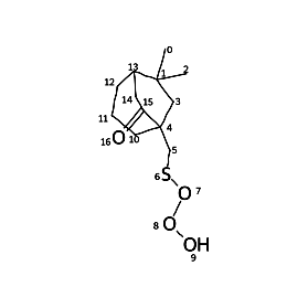 CC1(C)CC2(CSOOO)CCCC1CC2=O